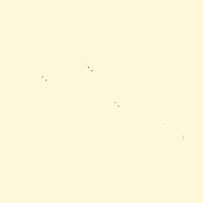 CN1CCN2CCN(C(=O)OC(C)(C)C)CC2C1